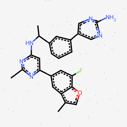 Cc1nc(NC(C)c2cccc(-c3cnc(N)nc3)c2)cc(-c2cc(F)c3occ(C)c3c2)n1